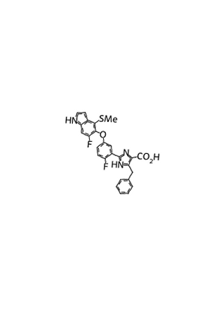 CSc1c(Oc2ccc(F)c(-c3nc(C(=O)O)c(Cc4ccccc4)[nH]3)c2)c(F)cc2[nH]ccc12